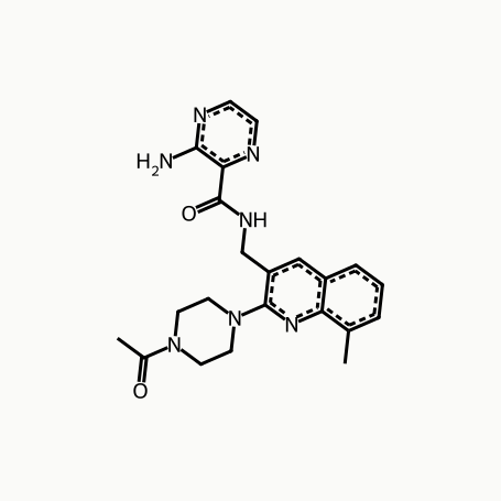 CC(=O)N1CCN(c2nc3c(C)cccc3cc2CNC(=O)c2nccnc2N)CC1